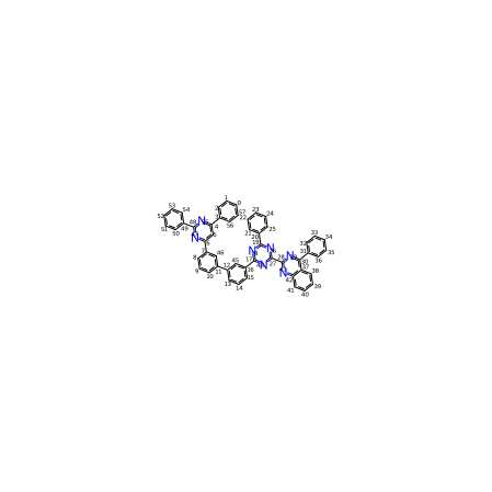 c1ccc(-c2cc(-c3cccc(-c4cccc(-c5nc(-c6ccccc6)nc(-c6nc(-c7ccccc7)c7ccccc7n6)n5)c4)c3)nc(-c3ccccc3)n2)cc1